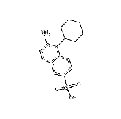 Nc1ccc2cc(S(=O)(=O)O)ccc2c1C1CCCCC1